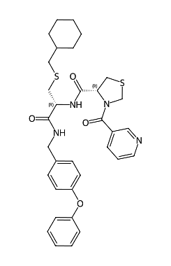 O=C(NCc1ccc(Oc2ccccc2)cc1)[C@H](CSCC1CCCCC1)NC(=O)[C@@H]1CSCN1C(=O)c1cccnc1